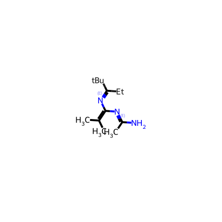 CC/C(=N\C(/N=C(\C)N)=C(C)C)C(C)(C)C